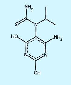 CC(C)N(C(N)=S)c1c(N)nc(O)nc1O